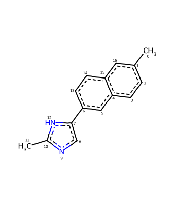 Cc1ccc2cc(-c3cnc(C)[nH]3)ccc2c1